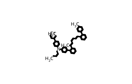 C=C/C=C\CN(c1ccc(C(/C=C\CC)=C/C)cc1)c1ccc(-c2ccccc2/C(C)=C/C=C\C=C\c2ccccc2-c2ccc(C)cc2)cc1